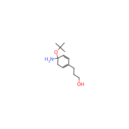 CC(C)(C)OC1(N)C=CC(CCCO)=CC1